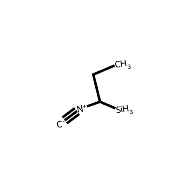 [C-]#[N+]C([SiH3])CC